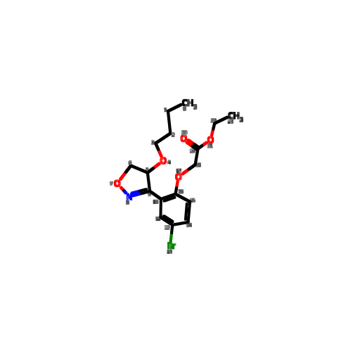 CCCCOC1CON=C1c1cc(Br)ccc1OCC(=O)OCC